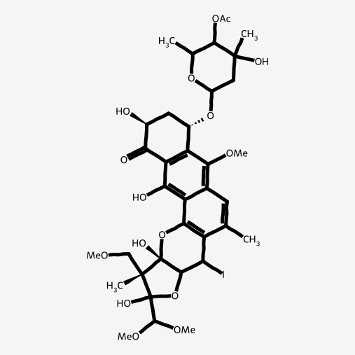 COC[C@@]1(C)C(O)(C(OC)OC)OC2C(I)c3c(C)cc4c(OC)c5c(c(O)c4c3O[C@]21O)C(=O)[C@@H](O)C[C@@H]5OC1CC(C)(O)C(OC(C)=O)C(C)O1